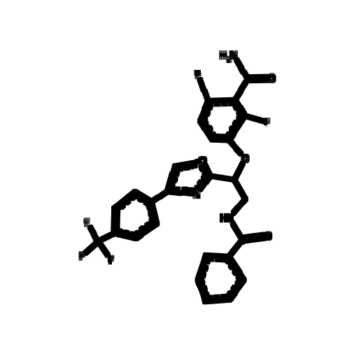 NC(=O)c1c(F)ccc(OC(CNC(=O)c2ccccc2)c2nc(-c3ccc(C(F)(F)F)cc3)co2)c1F